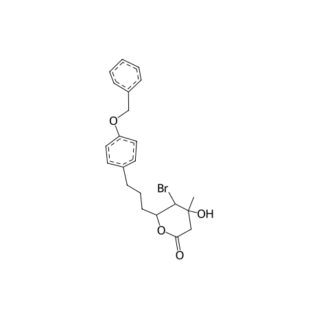 CC1(O)CC(=O)OC(CCCc2ccc(OCc3ccccc3)cc2)C1Br